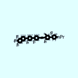 CCCc1ccc(-c2cc(C)c(C#Cc3ccc(-c4ccc(-c5ccc6c(F)c(F)c(F)cc6c5)c(F)c4)c(F)c3)c(F)c2)c(F)c1